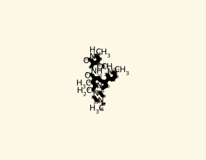 C=C(c1c(C)c(C(=O)NCc2c(OC)cc(C)[nH]c2=O)cc2c(-c3ccc(C)nc3)ccn12)N1CCN(CC)CC1